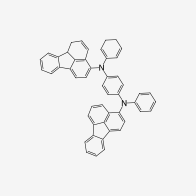 C1=CC(N(c2ccc(N(c3ccccc3)c3ccc4c5c(cccc35)-c3ccccc3-4)cc2)c2ccc3c4c2C=CCC4c2ccccc2-3)=CCC1